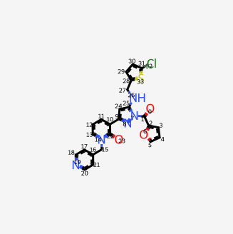 O=C(c1ccco1)n1nc(-c2cccn(Cc3ccncc3)c2=O)cc1NCc1ccc(Cl)s1